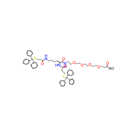 O=NC(=O)CCOCCOCCOCCOCCNC(=O)[C@H](CCCCNC(=O)CCSC(c1ccccc1)(c1ccccc1)c1ccccc1)NC(=O)CCSC(c1ccccc1)(c1ccccc1)c1ccccc1